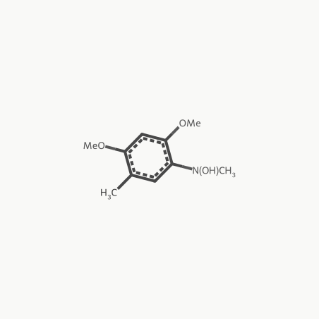 COc1cc(OC)c(N(C)O)cc1C